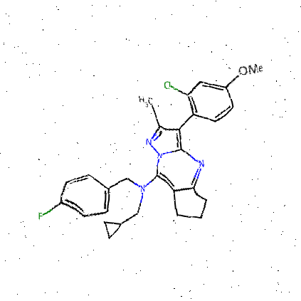 COc1ccc(-c2c(C)nn3c(N(Cc4ccc(F)cc4)CC4CC4)c4c(nc23)CCC4)c(Cl)c1